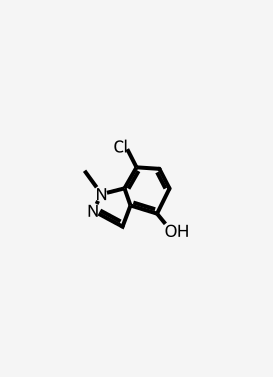 Cn1ncc2c(O)ccc(Cl)c21